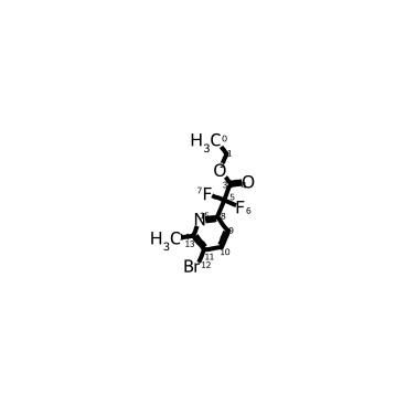 CCOC(=O)C(F)(F)c1ccc(Br)c(C)n1